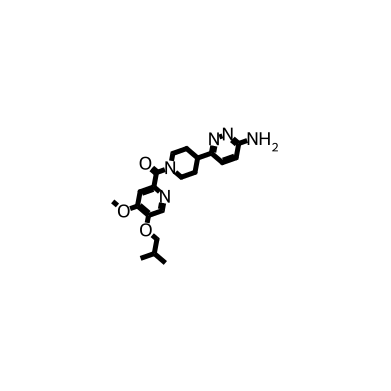 COc1cc(C(=O)N2CCC(c3ccc(N)nn3)CC2)ncc1OCC(C)C